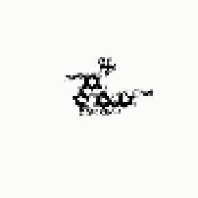 COc1ccc(Cc2cc([I+]c3ccc(OC)c(Cc4ccc(OC)nc4)c3)ccc2OC)cn1.O=C([O-])C(F)(F)F